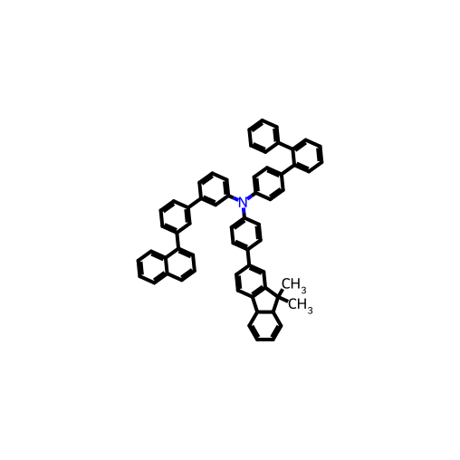 CC1(C)c2cc(-c3ccc(N(c4ccc(-c5ccccc5-c5ccccc5)cc4)c4cccc(-c5cccc(-c6cccc7ccccc67)c5)c4)cc3)ccc2C2C=CC=CC21